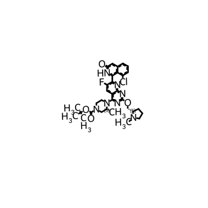 C[C@H]1CN(C(=O)OC(C)(C)C)CCN1c1nc(OC[C@@H]2CCCN2C)nc2nc(-c3[nH]c(=O)cc4cccc(Cl)c34)c(F)cc12